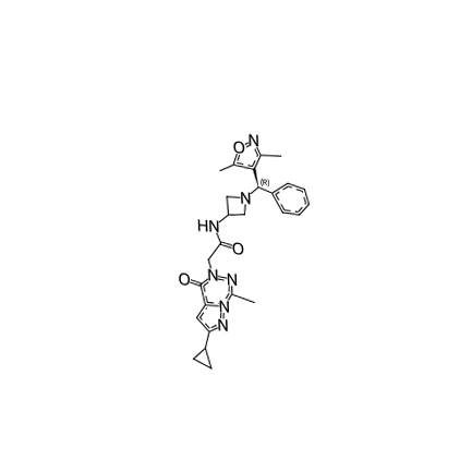 Cc1noc(C)c1[C@@H](c1ccccc1)N1CC(NC(=O)Cn2nc(C)n3nc(C4CC4)cc3c2=O)C1